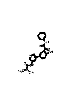 CN(C)C(=O)Nc1cncc(-c2ccc3[nH]nc(C(=O)Nc4cccnc4)c3c2)c1